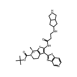 C[C@H]1c2sc(NC(=O)CCNC3CC4CNCC4C3)c(-c3nc4cnccc4s3)c2CCN1C(=O)OC(C)(C)C